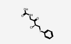 O=C(O)NCC(=O)[C@H](Cl)CSc1ccccc1